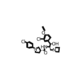 C=COc1ccc([C@@H](O)[C@@H](CN2CCCC2)NC(=O)[C@@H]2CCN(c3ccc(Cl)cc3)C2)cc1Cl